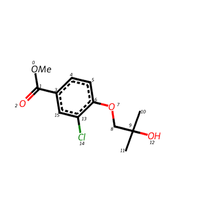 COC(=O)c1ccc(OCC(C)(C)O)c(Cl)c1